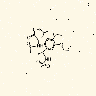 CC(=O)N[C@@H](CC(C)C)C(=O)O.CCOc1cc([C@H](C)NS(C)(=O)=O)ccc1OC